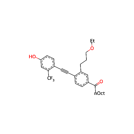 CCCCCCCCC(=O)c1ccc(C#Cc2ccc(O)cc2C(F)(F)F)c(CCCOCC)c1